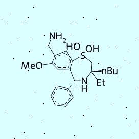 CCCC[C@]1(CC)CS(O)(O)c2cc(CN)c(OC)cc2[C@@H](c2ccccc2)N1